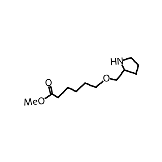 COC(=O)CCCCCOCC1CCCN1